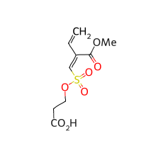 C=CC(=CS(=O)(=O)OCCC(=O)O)C(=O)OC